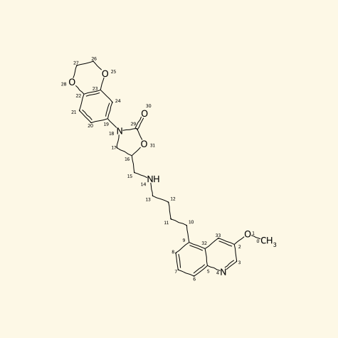 COc1cnc2cccc(CCCCNCC3CN(c4ccc5c(c4)OCCO5)C(=O)O3)c2c1